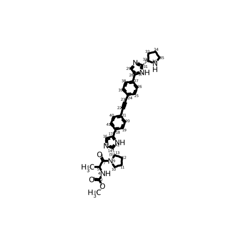 COC(=O)NC(C)C(=O)N1CCC[C@H]1c1ncc(-c2ccc(C#Cc3ccc(-c4cnc([C@@H]5CCCN5)[nH]4)cc3)cc2)[nH]1